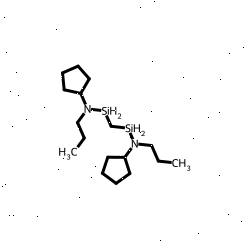 CCCN([SiH2]C[SiH2]N(CCC)C1CCCC1)C1CCCC1